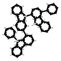 c1ccc(-c2ccc(-n3c4ccccc4c4ccc(-c5cccc6c7ccccc7n(-c7ccccc7)c56)cc43)c3oc4ccccc4c23)cc1